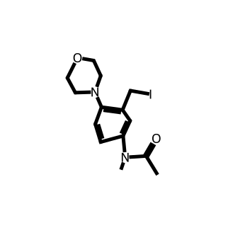 CC(=O)N(C)c1ccc(N2CCOCC2)c(CI)c1